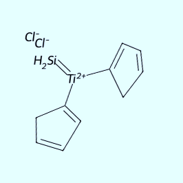 [Cl-].[Cl-].[SiH2]=[Ti+2]([C]1=CC=CC1)[C]1=CC=CC1